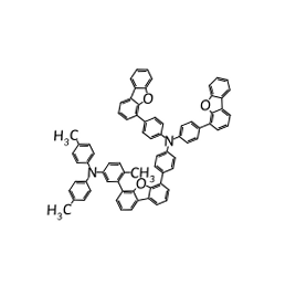 Cc1ccc(N(c2ccc(C)cc2)c2ccc(C)c(-c3cccc4c3oc3c(-c5ccc(N(c6ccc(-c7cccc8c7oc7ccccc78)cc6)c6ccc(-c7cccc8c7oc7ccccc78)cc6)cc5)cccc34)c2)cc1